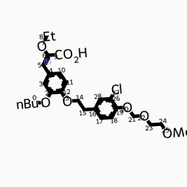 CCCCOc1cc(/C=C(/OCC)C(=O)O)ccc1OCCc1ccc(OCOCCOC)c(Cl)c1